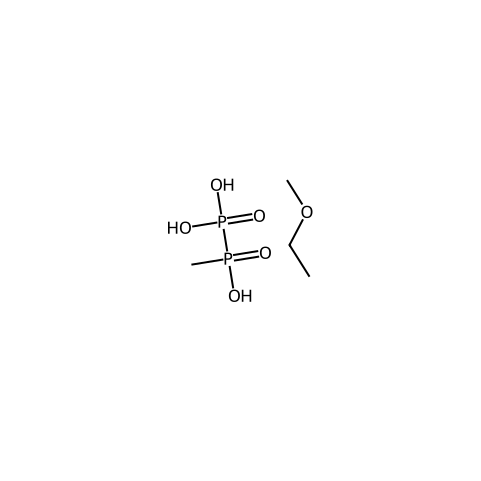 CCOC.CP(=O)(O)P(=O)(O)O